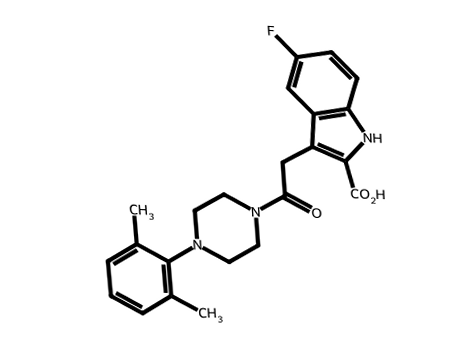 Cc1cccc(C)c1N1CCN(C(=O)Cc2c(C(=O)O)[nH]c3ccc(F)cc23)CC1